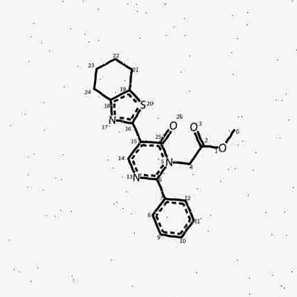 COC(=O)Cn1c(-c2ccccc2)ncc(-c2nc3c(s2)CCCC3)c1=O